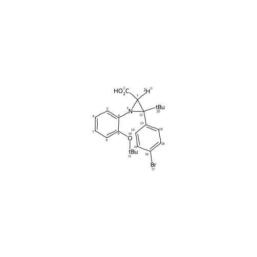 [2H]C1(C(=O)O)N(c2ccccc2OC(C)(C)C)C1(c1ccc(Br)cc1)C(C)(C)C